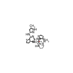 Cc1cc(Nc2nc(N[C@@H]3C[C@H]4CCC[C@@H](C3)N4C(O)c3nccn3C)nc3ccsc23)n[nH]1